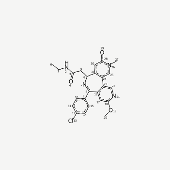 CCNC(=O)CC1N=C(c2ccc(Cl)cc2)c2cc(OC)ncc2-c2cn(C)c(=O)cc21